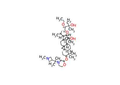 CCO[C@@H]([C@H]1C[C@@H](C)[C@H]2[C@H](O1)[C@H](O)[C@@]1(C)[C@@H]3CC[C@H]4C(C)(C)[C@@H](O[C@H]5CN(C(C)(C)C6CN(C)C6)CCO5)CC[C@@]45C[C@@]35CC[C@]21C)C(C)(C)O